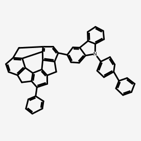 c1ccc(-c2ccc(-n3c4ccccc4c4cc(-c5cc6c7c8c(ccc9c8c8c(c(-c%10ccccc%10)cc%10c8c7c5C%10)C9)C6)ccc43)cc2)cc1